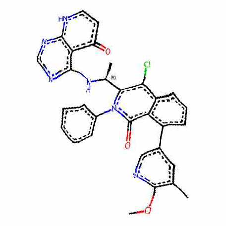 COc1ncc(-c2cccc3c(Cl)c([C@H](C)Nc4ncnc5[nH]ccc(=O)c45)n(-c4ccccc4)c(=O)c23)cc1C